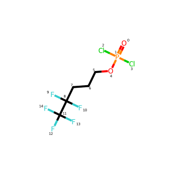 O=P(Cl)(Cl)OCCCC(F)(F)C(F)(F)F